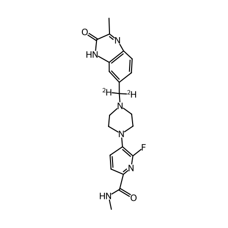 [2H]C([2H])(c1ccc2nc(C)c(=O)[nH]c2c1)N1CCN(c2ccc(C(=O)NC)nc2F)CC1